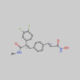 CC(C)NC(=O)/C(=C/c1ccc(/C=C/C(=O)NO)cc1)c1ccc(F)c(F)c1